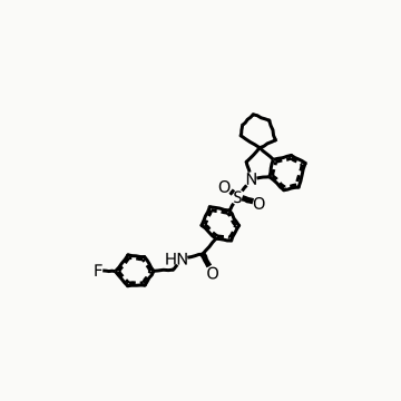 O=C(NCc1ccc(F)cc1)c1ccc(S(=O)(=O)N2CC3(CCCCC3)c3ccccc32)cc1